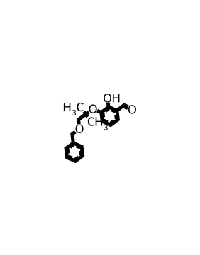 CC(C)(COCc1ccccc1)Oc1cccc(C=O)c1O